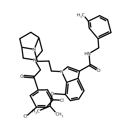 Cc1cccc(CNC(=O)c2cn(CCCN3C4CCC3CN(CC(=O)c3cc(Cl)cc(Cl)c3)C4)c3c(OC(C)C)cccc23)c1